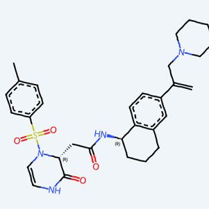 C=C(CN1CCCCC1)c1ccc2c(c1)CCC[C@H]2NC(=O)C[C@@H]1C(=O)NC=CN1S(=O)(=O)c1ccc(C)cc1